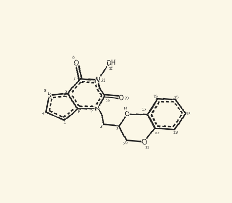 O=c1c2sccc2n(CC2COc3ccccc3O2)c(=O)n1O